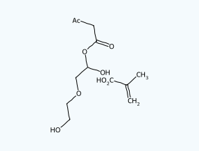 C=C(C)C(=O)O.CC(=O)CC(=O)OC(O)COCCO